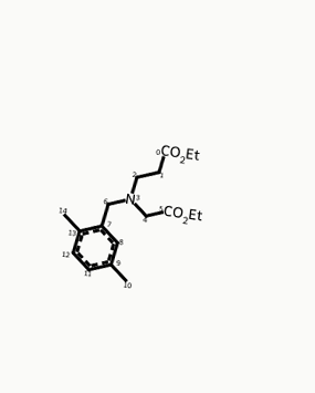 CCOC(=O)CCN(CC(=O)OCC)Cc1cc(C)ccc1C